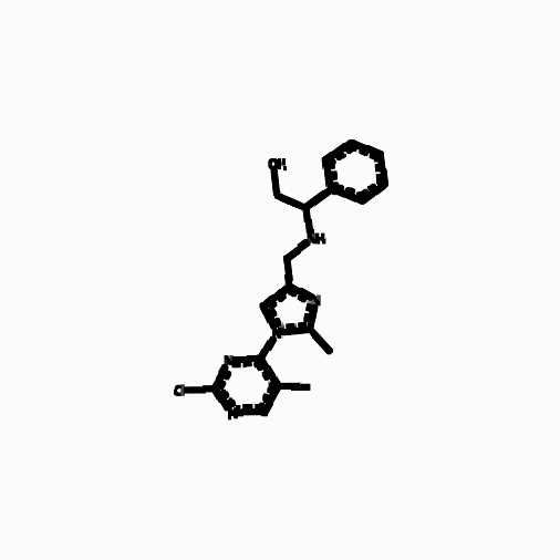 Cc1cnc(Cl)nc1-n1cc(CNC(CO)c2ccccc2)nc1C